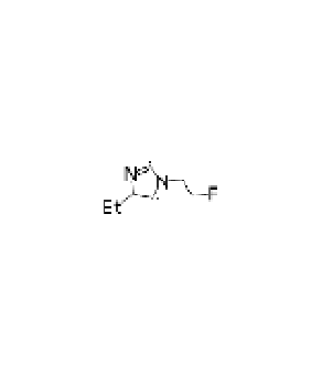 CCC1[CH]N(CCF)[C]=N1